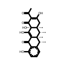 CC(=O)C1=C(O)C[C@@]2(C)[C@H](C)[C@]3(C)C(=C(O)[C@@]2(O)C1=O)C(=O)c1c(O)cccc1[C@H]3C